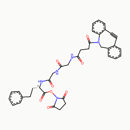 O=C(CCC(=O)N1Cc2ccccc2C#Cc2ccccc21)NCC(=O)NCC(=O)N[C@@H](CCc1ccccc1)C(=O)ON1C(=O)CCC1=O